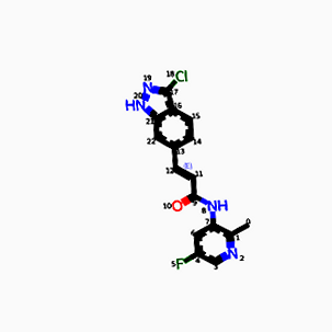 Cc1ncc(F)cc1NC(=O)/C=C/c1ccc2c(Cl)n[nH]c2c1